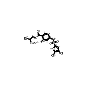 CCC(COC(=O)c1ccc(NS(=O)(=O)c2cc(Cl)c(Cl)s2)cc1O)OC